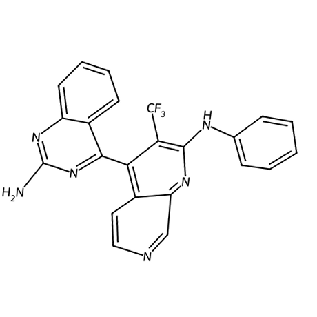 Nc1nc(-c2c(C(F)(F)F)c(Nc3ccccc3)nc3cnccc23)c2ccccc2n1